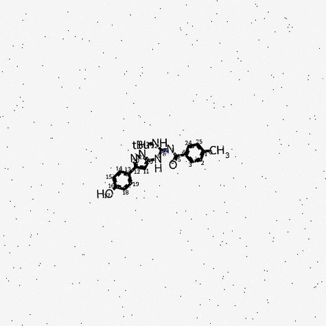 Cc1ccc(C(=O)/N=C(\Nc2cc(-c3ccc(O)cc3)n[nH]2)NC(C)(C)C)cc1